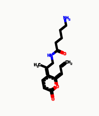 C=C/C=c1/oc(=O)cc/c1=C(\C)CNC(=O)CCCCN